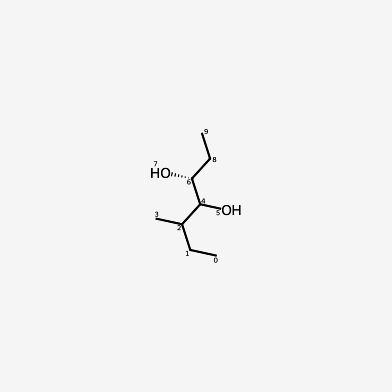 CCC(C)C(O)[C@H](O)CC